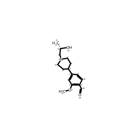 COc1cc(C2CCN(C[C@H](C)O)CC2)ccc1C=O